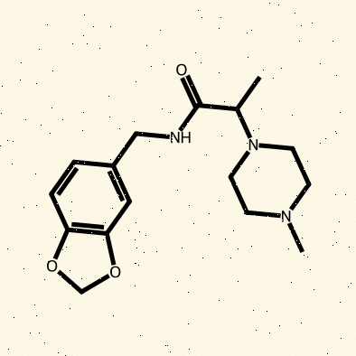 CC(C(=O)NCc1ccc2c(c1)OCO2)N1CCN(C)CC1